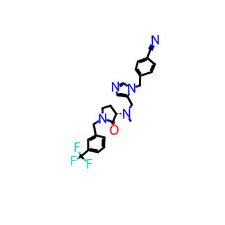 CN(Cc1cncn1Cc1ccc(C#N)cc1)[C@H]1CCN(Cc2cccc(C(F)(F)F)c2)C1=O